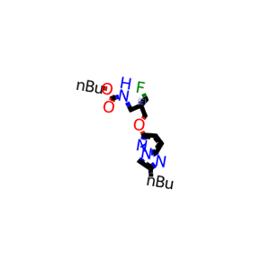 CCCCOC(=O)NC/C(=C\F)COc1ccc2nc(CCCC)cn2n1